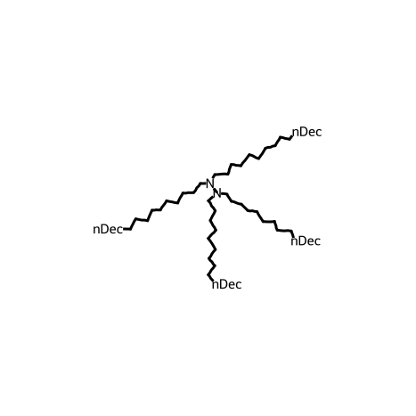 CCCCCCCCCCCCCCCCCCCCN(CCCCCCCCCCCCCCCCCCCC)N(CCCCCCCCCCCCCCCCCCC)CCCCCCCCCCCCCCCCCCC